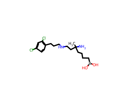 CC(N)(CCCCB(O)O)CCNCCCc1ccc(Cl)cc1Cl